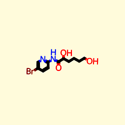 O=C(Nc1ccc(Br)cn1)C(O)CCCCO